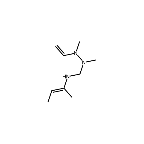 C=CN(C)N(C)CN/C(C)=C/C